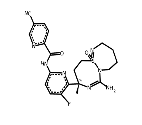 C[C@@]1(c2nc(NC(=O)c3ccc(C#N)cn3)ccc2F)CCS2(=O)=NCCCCN2C(N)=N1